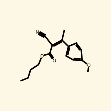 CCCCOC(=O)C(C#N)=C(C)c1ccc(OC)cc1